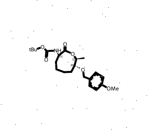 COc1ccc(CO[C@@H]2CCCC[C@H](NC(=O)OC(C)(C)C)C(=O)O[C@H]2C)cc1